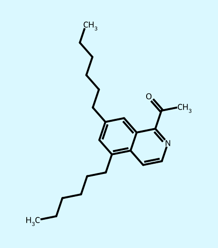 CCCCCCc1cc(CCCCCC)c2ccnc(C(C)=O)c2c1